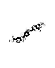 Nc1nc2ncc(CNc3ccc(C(=O)NC(CC(O)C(=O)O)C(=O)O)cc3)nc2c(=O)[nH]1